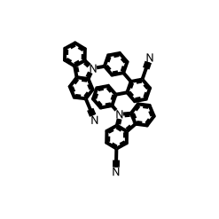 N#Cc1ccc2c(c1)c1ccccc1n2-c1ccccc1-c1cccc(C#N)c1-c1cccc(-n2c3ccccc3c3ccc(C#N)cc32)c1